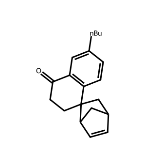 CCCCc1ccc2c(c1)C(=O)CCC21CC2C=CC1C2